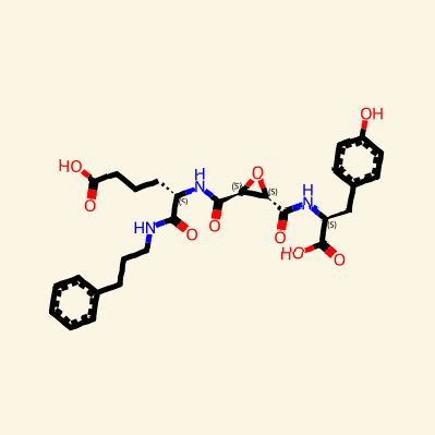 O=C(O)CCC[C@H](NC(=O)[C@H]1O[C@@H]1C(=O)N[C@@H](Cc1ccc(O)cc1)C(=O)O)C(=O)NCCCc1ccccc1